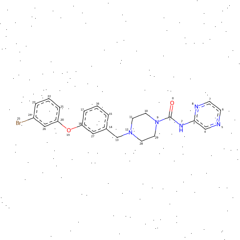 O=C(Nc1cnccn1)N1CCN(Cc2cccc(Oc3cccc(Br)c3)c2)CC1